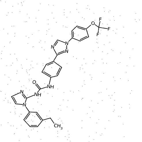 CCc1cccc(-n2ccnc2NC(=O)Nc2ccc(-c3ncn(-c4ccc(OC(F)(F)F)cc4)n3)cc2)c1